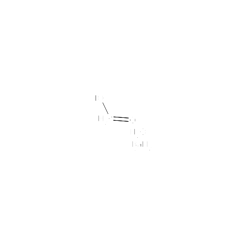 O.O=[PH2]O.[BaH2]